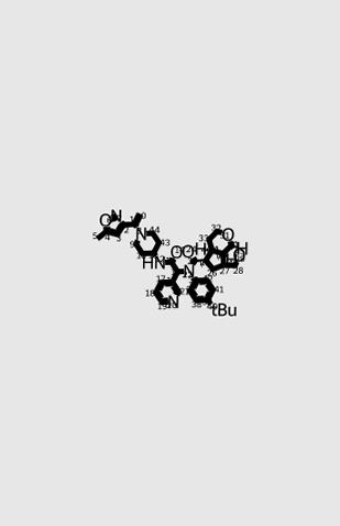 C=C(c1cc(C)on1)N1CCC(NC(=O)C(c2cccnc2)N(C(=O)[C@@H]2CC3CO[C@@H]4OCC[C@H]2[C@H]34)c2ccc(C(C)(C)C)cc2)CC1